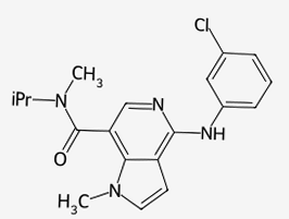 CC(C)N(C)C(=O)c1cnc(Nc2cccc(Cl)c2)c2ccn(C)c12